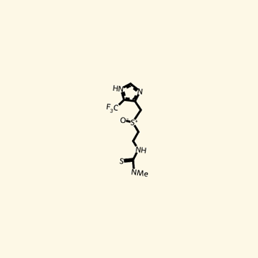 CNC(=S)NCC[S+]([O-])Cc1nc[nH]c1C(F)(F)F